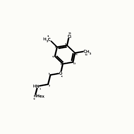 CCCCCCNCCOc1cc(C)c(Cl)c(C)c1